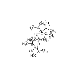 CC(C)[Si](Cl)(O[Si](C)(C)O[Si](C(C)C)(C(C)C)C(C)C)C(C)C